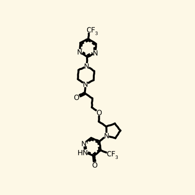 O=C(CCOCC1CCCN1c1cn[nH]c(=O)c1C(F)(F)F)N1CCN(c2ncc(C(F)(F)F)cn2)CC1